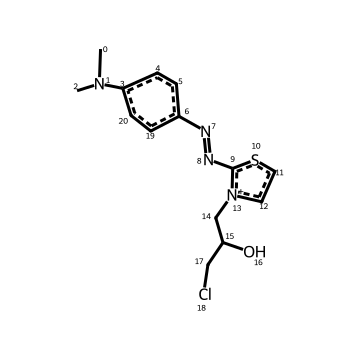 CN(C)c1ccc(N=Nc2scc[n+]2CC(O)CCl)cc1